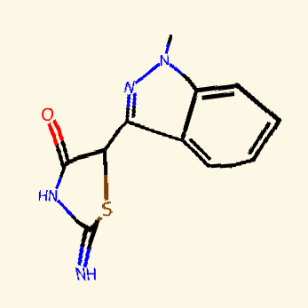 Cn1nc(C2SC(=N)NC2=O)c2ccccc21